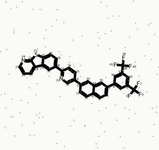 FC(F)(F)c1cc(-c2ccc3ccc(-c4ccc(-c5ccc6sc7ncccc7c6c5)nc4)cc3c2)cc(C(F)(F)F)c1